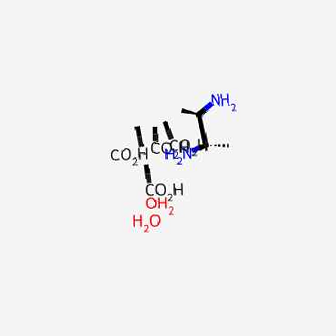 CC(=O)O.CC(=O)O.CC(=O)O.CC(=O)O.C[C@H](N)[C@@H](C)N.O.O